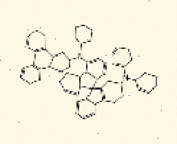 C1=CCCC(N(C2C=CCCC2)C2CCC3=C(C2)C2(C4C=CC=CC34)C3C=CCCC3C3C(N(C4CCCCC4)C4CCC5C6=C(C=CCC6)C6=C(CCC=C6)C5C4)=CC=CC32)=C1